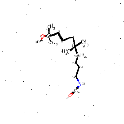 CC(C)O[Si](C)(C)CCCC(C)(C)[SiH2]CCCN=C=O